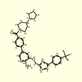 CC(C)(C)c1ccc(-c2noc(COc3cc(-c4ccc(C(=O)N5CCC(N6CCCC6)CC5)cc4)cnc3N)n2)cc1